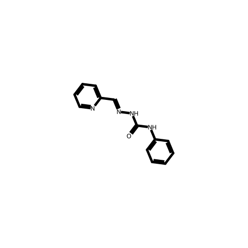 O=C(NN=Cc1ccccn1)Nc1ccccc1